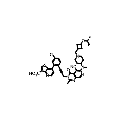 Cc1nc2cnc(N(C)C3CCN(CC4CC(OC(F)F)C4)CC3)c(C#N)c2c(=O)n1CC#Cc1ccc(Cl)cc1-c1ccnc2c(C(=O)O)csc12